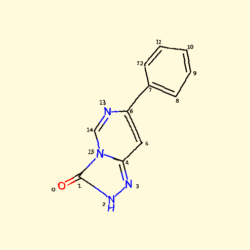 O=c1[nH]nc2cc(-c3ccccc3)ncn12